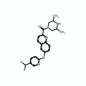 CC1CN(C(=O)c2ccc3cc(Oc4ccc(C(F)F)cn4)ccc3n2)CC(C)N1